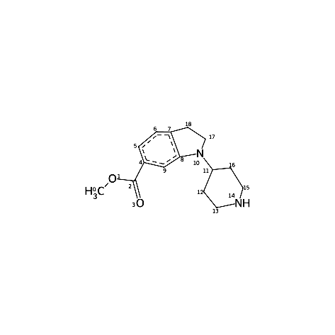 COC(=O)c1ccc2c(c1)N(C1CCNCC1)CC2